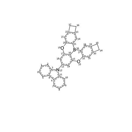 c1ccc2c(c1)c1ccccc1n2-c1cc2c3c(c1)Oc1cc4c(cc1B3c1cc3c(cc1O2)CC3)CC4